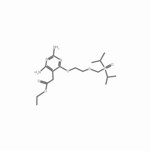 CCOC(=O)Cc1c(N)nc(N)nc1OCCOCP(=O)(C(C)C)C(C)C